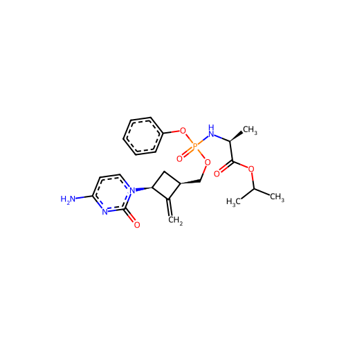 C=C1[C@H](COP(=O)(N[C@@H](C)C(=O)OC(C)C)Oc2ccccc2)C[C@@H]1n1ccc(N)nc1=O